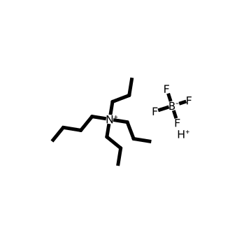 CCCC[N+](CCC)(CCC)CCC.F[B-](F)(F)F.[H+]